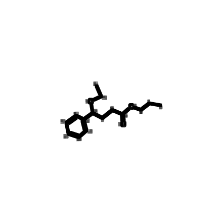 CCCOC(=O)CCC(OCC)c1ccccc1